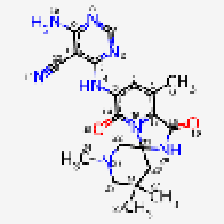 Cc1cc(Nc2ncnc(N)c2C#N)c(=O)n2c1C(=O)NC21CN(C)CC(C)(C)C1